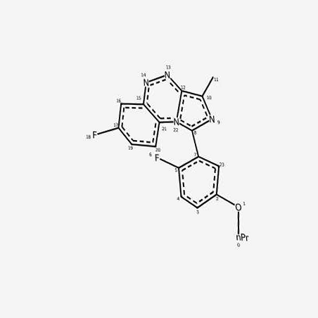 CCCOc1ccc(F)c(-c2nc(C)c3nnc4cc(F)ccc4n23)c1